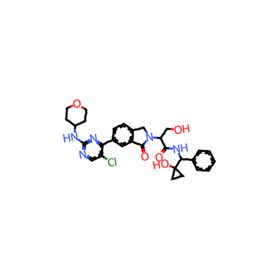 O=C(NC(c1ccccc1)C1(O)CC1)C(CO)N1Cc2ccc(-c3nc(NC4CCOCC4)ncc3Cl)cc2C1=O